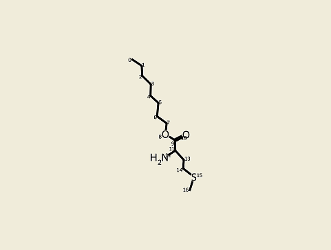 CCCCCCCCOC(=O)C(N)CCSC